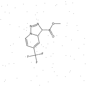 COC(=O)C1N=NN2C=CC(C(F)(F)F)=CC12